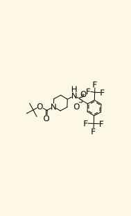 CC(C)(C)OC(=O)N1CCC(NS(=O)(=O)c2cc(C(F)(F)F)ccc2C(F)(F)F)CC1